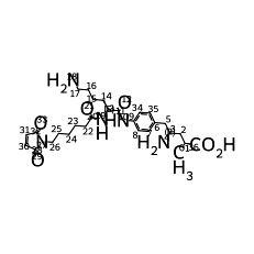 CC(C[C@@H](N)Cc1ccc(NC(=O)[C@H](CCCCN)NC(=O)CCCCCN2C(=O)C=CC2=O)cc1)C(=O)O